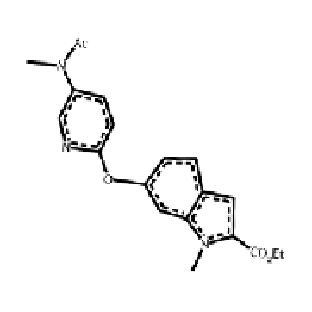 CCOC(=O)c1cc2ccc(Oc3ccc(N(C)C(C)=O)cn3)cc2n1C